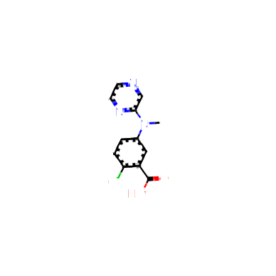 CN(c1ccc(Cl)c(C(=O)O)c1)c1cnccn1